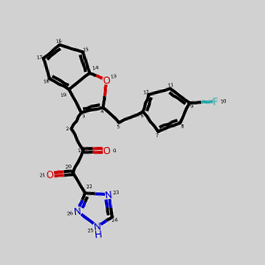 O=C(Cc1c(Cc2ccc(F)cc2)oc2ccccc12)C(=O)c1nc[nH]n1